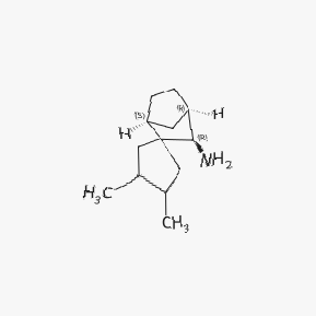 CC1CC2(CC1C)[C@H]1CC[C@H](C1)[C@H]2N